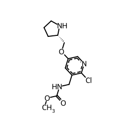 COC(=O)NCc1cc(OC[C@@H]2CCCN2)cnc1Cl